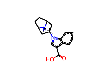 CN1C2CCC1CC(n1cc(C(=O)O)c3ccccc31)C2